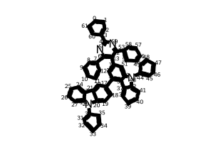 c1ccc(-c2nc(-c3ccccc3)c(-c3cc(-c4ccc5c(c4)c4ccccc4n5-c4ccccc4)c4c5ccccc5n(-c5ccccc5)c4c3)c(-c3ccccc3)n2)cc1